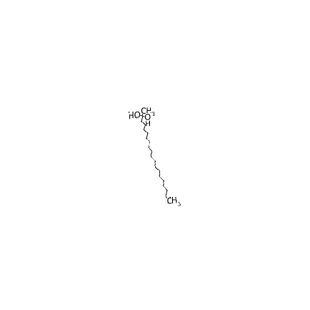 CCCCCCCCCCCCCCCCCCC(C)(O)O